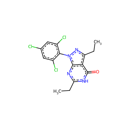 CCc1nc2c(c(CC)nn2-c2c(Cl)cc(Cl)cc2Cl)c(=O)[nH]1